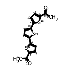 CC(=O)c1ccc(-c2ccc(-c3ccc(C(C)=O)s3)s2)s1